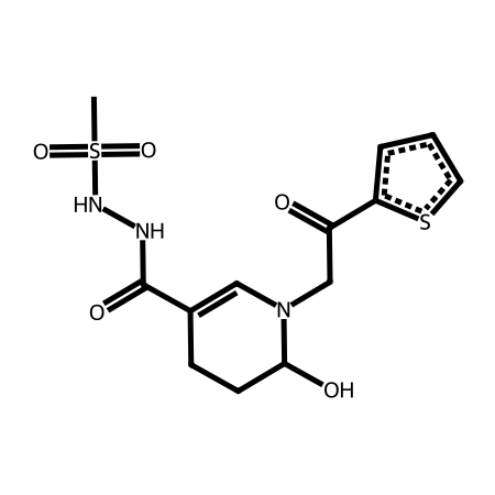 CS(=O)(=O)NNC(=O)C1=CN(CC(=O)c2cccs2)C(O)CC1